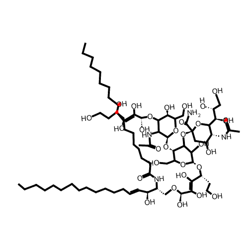 CCCCCCCCCCCCC/C=C/[C@H](O)[C@@H](CO[C@H](O)/C(O)=C(\O)[C@@H](CCO)O[C@@H]1OC(CO)[C@H](O[C@@H]2OC(CO)[C@H](O)C(O[C@H](O)/C(O)=C(\O)[C@@H](O)CCO)C2NC(C)=O)C(O[C@]2(C(N)=O)CC(O)[C@@H](NC(C)=O)C([C@H](O)[C@H](O)CO)O2)C1O)NC(=O)CCCCCCCCCCCCCCCCC